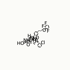 N[C@@H](CO)C(=O)N1C[C@@H]2CC(c3ccc(CCCOc4c(F)ccc(F)c4F)cc3)=C(C(=O)N(Cc3ccccc3Cl)C3CC3)[C@H](C1)N2